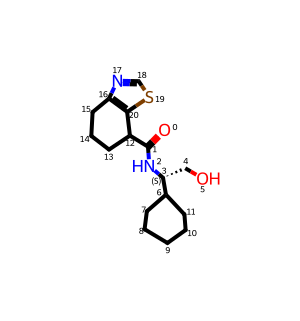 O=C(N[C@H](CO)C1CCCCC1)C1CCCc2ncsc21